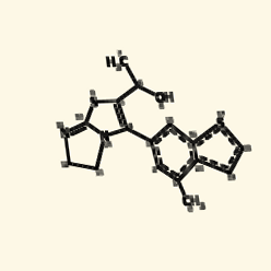 Cc1cc(C2=C(C(C)O)SC3=NCCN32)cc2sccc12